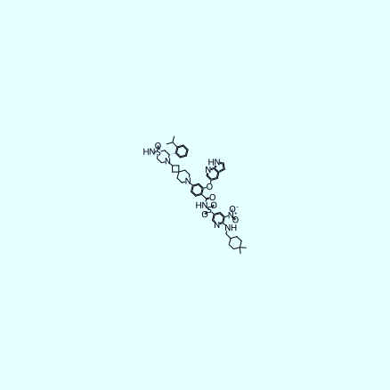 CC(C)c1ccccc1[C@H]1CS(=N)(=O)CCN1C1CC2(CCN(c3ccc(C(=O)NS(=O)(=O)c4cnc(NCC5CCC(C)(C)CC5)c([N+](=O)[O-])c4)c(Oc4cnc5[nH]ccc5c4)c3)CC2)C1